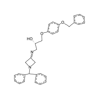 O[C@@H](CN=C1CN(C(c2ccccc2)c2ccccc2)C1)COc1ccc(OCc2ccccc2)cc1